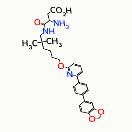 CC(C)(CCCCOc1cccc(-c2ccc(-c3ccc4c(c3)OCO4)cc2)n1)CNC(=O)C(N)CC(=O)O